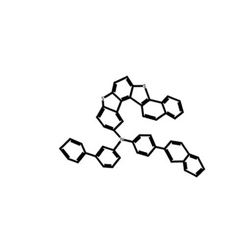 c1ccc(-c2cccc(N(c3ccc(-c4ccc5ccccc5c4)cc3)c3ccc4sc5ccc6sc7c8ccccc8ccc7c6c5c4c3)c2)cc1